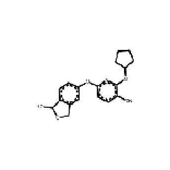 N#Cc1ccc(Oc2ccc3c(c2)COC3O)nc1OC1CCCC1